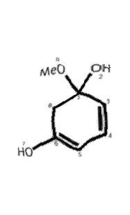 COC1(O)C=CC=C(O)C1